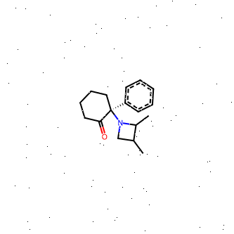 CC1CN([C@]2(c3ccccc3)CCCCC2=O)C1C